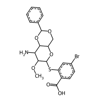 COC1C(Sc2cc(Br)ccc2C(=O)O)OC2COC(c3ccccc3)OC2C1N